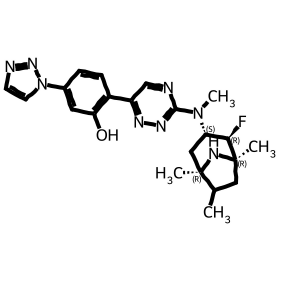 CC1C[C@@]2(C)N[C@]1(C)C[C@H](N(C)c1ncc(-c3ccc(-n4ccnn4)cc3O)nn1)[C@H]2F